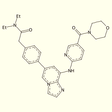 CCN(CC)C(=O)Cc1ccc(-c2cc(Nc3ccc(C(=O)N4CCOCC4)cn3)c3nccn3c2)cc1